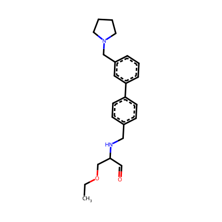 CCOCC(C=O)NCc1ccc(-c2cccc(CN3CCCC3)c2)cc1